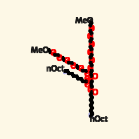 CCCCCCCC/C=C/CCCCCCCC(=O)OCC(COC(=O)C(COCCOCCOCCOCCOCCOCCOC)OCCOCCOCCOCCOCCOCCOC)OC(=O)CCCCCCC/C=C/CCCCCCCC